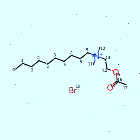 CCCCCCCCCC[N+](C)(C)CCOC(C)=O.[Br-]